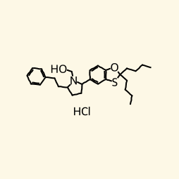 CCCCC1(CCCC)Oc2ccc(C3CCC(CCc4ccccc4)N3CO)cc2S1.Cl